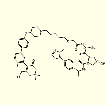 CCOC1=C(c2cc(-c3ccc(OC4CCN(CCCCCOCC(=O)N[C@H](C(=O)N5C[C@H](O)C[C@H]5C(=O)NC(C)c5ccc(-c6scnc6C)cc5)C(C)(C)C)CC4)cc3)ccc2C)C(=O)CC(C)(C)C1